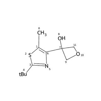 Cc1sc(C(C)(C)C)nc1C1(O)COC1